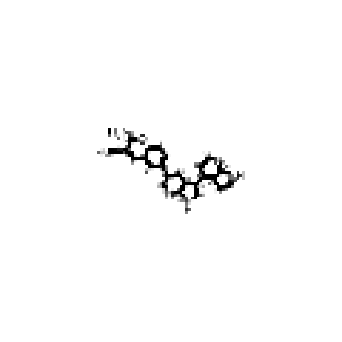 N#CC(=Cc1cccc(-c2cnc3[nH]cc(-c4ccnc5[nH]ccc45)c3c2)c1)C(N)=O